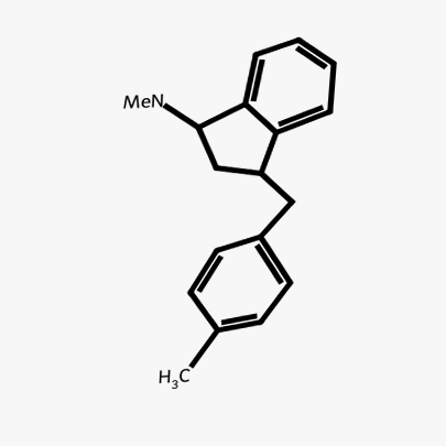 CNC1CC(Cc2ccc(C)cc2)c2ccccc21